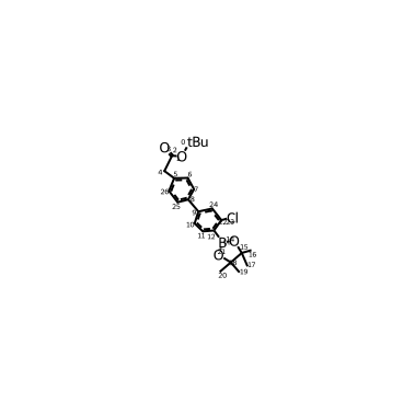 CC(C)(C)OC(=O)Cc1ccc(-c2ccc(B3OC(C)(C)C(C)(C)O3)c(Cl)c2)cc1